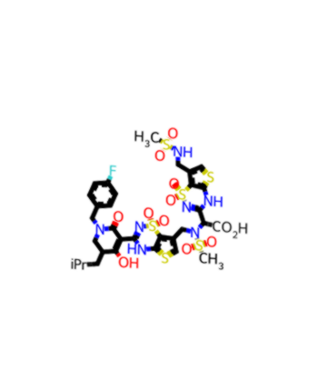 CC(C)CC1CN(Cc2ccc(F)cc2)C(=O)C(C2=NS(=O)(=O)c3c(CN(C(C(=O)O)C4=NS(=O)(=O)c5c(CNS(C)(=O)=O)csc5N4)S(C)(=O)=O)csc3N2)=C1O